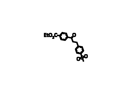 CCOC(=O)c1ccc(C(=O)CCc2ccc(S(C)(=O)=O)cc2)cc1